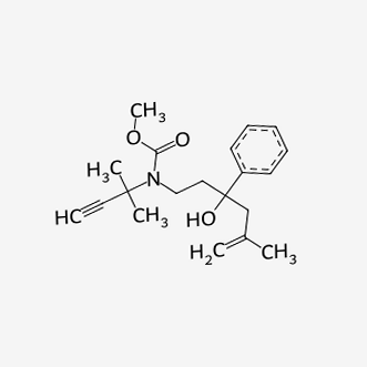 C#CC(C)(C)N(CCC(O)(CC(=C)C)c1ccccc1)C(=O)OC